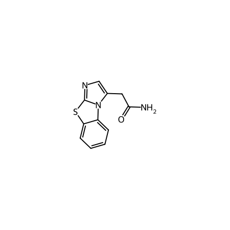 NC(=O)Cc1cnc2sc3ccccc3n12